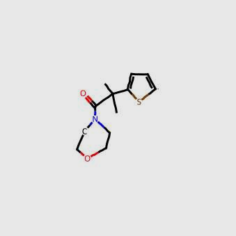 CC(C)(C(=O)N1CCOCC1)c1cc[c]s1